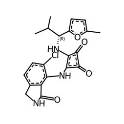 Cc1ccc([C@H](Nc2c(Nc3c(Cl)ccc4c3C(=O)NC4)c(=O)c2=O)C(C)C)o1